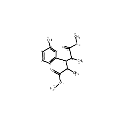 COC(=O)C(C)N(c1cccc(O)c1)C(C)C(=O)OC